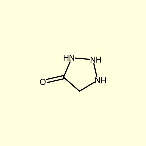 O=C1CNNN1